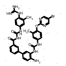 Cc1cc(NC(=O)NC(=O)c2cccc(-c3ccc(N)c(NC(=O)Nc4ccc(Oc5ncc(Br)cn5)c(C)c4)c3)c2)ccc1NC(=N)N